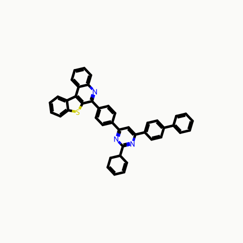 C1=CCC(c2nc(-c3ccc(-c4ccccc4)cc3)cc(-c3ccc(-c4nc5ccccc5c5c4sc4ccccc45)cc3)n2)C=C1